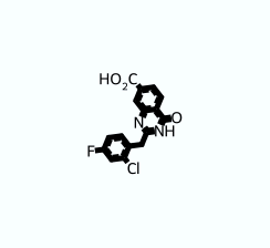 O=C(O)c1ccc2c(=O)[nH]c(Cc3ccc(F)cc3Cl)nc2c1